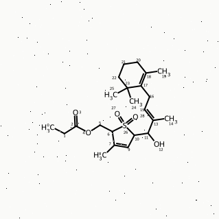 CCC(=O)OCC1C(C)=CC(C(O)/C(C)=C/CC2=C(C)CCCC2(C)C)S1(=O)=O